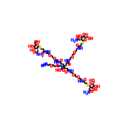 [N-]=[N+]=NCCOCCOCCN(C(=O)O)C(CCC(=O)NCCOCCOCCNC(=O)CCS[C@@H]1O[C@H](CO)[C@H](O)[C@H](O)[C@H]1CC(N)=O)(CCC(=O)NCCOCCOCCNC(=O)CCS[C@@H]1O[C@H](CO)[C@H](O)[C@H](O)[C@H]1CC(N)=O)CCC(=O)NCCOCCOCCNC(=O)CCS[C@@H]1O[C@H](CO)[C@H](O)[C@H](O)[C@H]1CC(N)=O